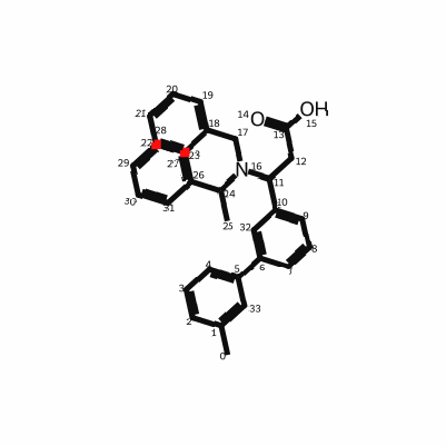 Cc1cccc(-c2cccc(C(CC(=O)O)N(Cc3ccccc3)C(C)c3ccccc3)c2)c1